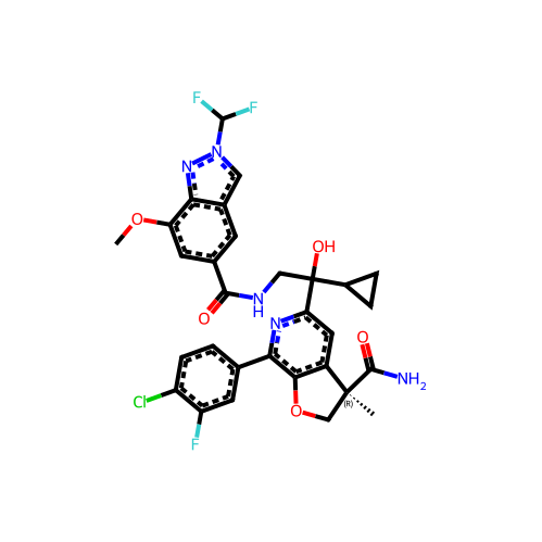 COc1cc(C(=O)NCC(O)(c2cc3c(c(-c4ccc(Cl)c(F)c4)n2)OC[C@]3(C)C(N)=O)C2CC2)cc2cn(C(F)F)nc12